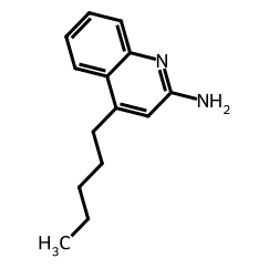 CCCCCc1cc(N)nc2ccccc12